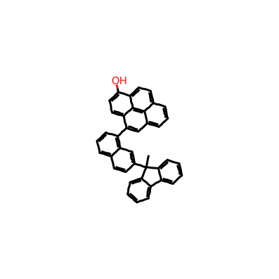 CC1(c2ccc3cccc(-c4cc5cccc6ccc7c(O)ccc4c7c65)c3c2)c2ccccc2-c2ccccc21